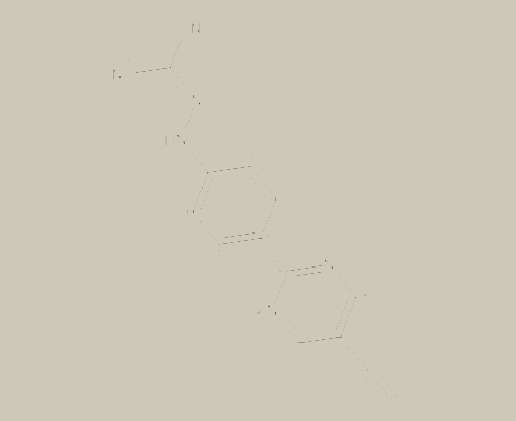 C#Cc1cnc(-c2ccc(NN=C(C#N)C#N)cc2)nc1